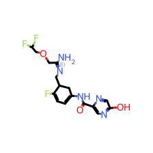 N/C(COCC(F)F)=N/CC1CC(NC(=O)c2cnc(O)cn2)=CC=C1F